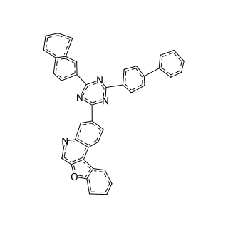 c1ccc(-c2ccc(-c3nc(-c4ccc5ccccc5c4)nc(-c4ccc5c(c4)ncc4oc6ccccc6c45)n3)cc2)cc1